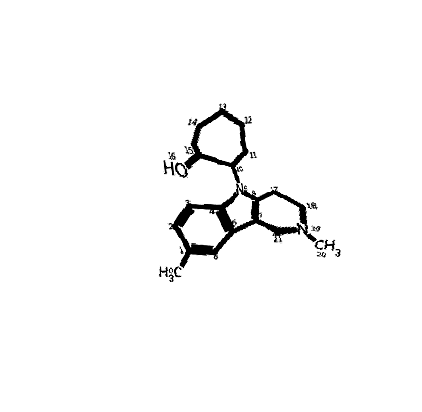 Cc1ccc2c(c1)c1c(n2C2CCCCC2O)CCN(C)C1